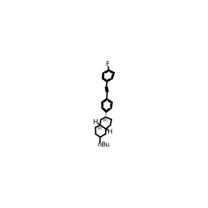 CCCCC1CC[C@@H]2C[C@H](c3ccc(C#Cc4ccc(F)cc4)cc3)CC[C@@H]2C1